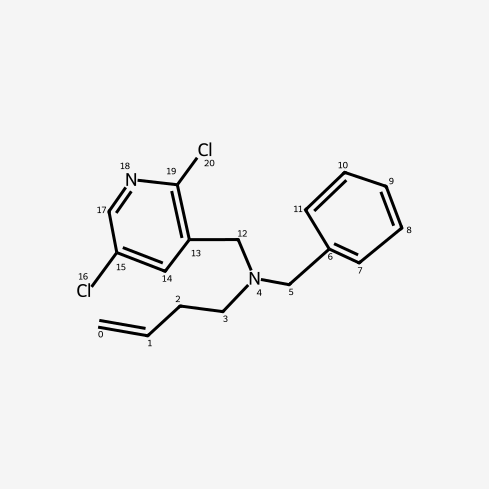 C=CCCN(Cc1ccccc1)Cc1cc(Cl)cnc1Cl